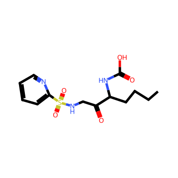 CCCCC(NC(=O)O)C(=O)CNS(=O)(=O)c1ccccn1